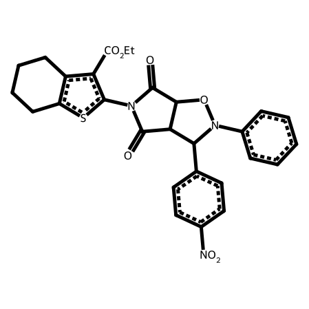 CCOC(=O)c1c(N2C(=O)C3ON(c4ccccc4)C(c4ccc([N+](=O)[O-])cc4)C3C2=O)sc2c1CCCC2